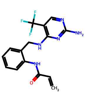 C=CC(=O)Nc1ccccc1CNc1nc(N)ncc1C(F)(F)F